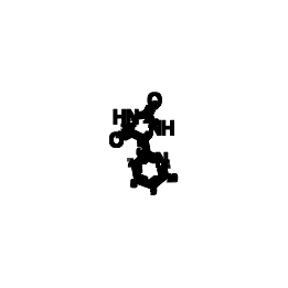 O=C1NC(=O)C(c2ccccn2)N1